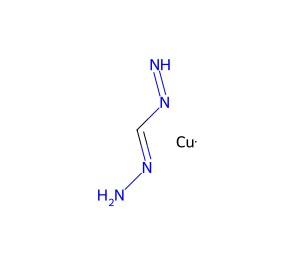 N=NC=NN.[Cu]